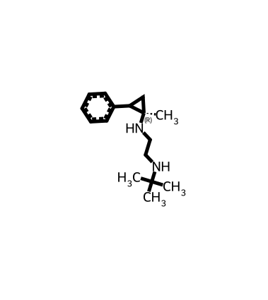 CC(C)(C)NCCN[C@]1(C)CC1c1ccccc1